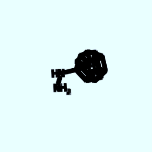 NN[C]12[CH]3[CH]4[CH]5[CH]1[Fe]45321678[CH]2[CH]1[CH]6[CH]7[CH]28